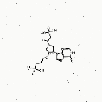 O=C(CP(=O)(O)O)N1C[C@H](OCCCP(=O)(O)O)[C@H](n2cnc3c(=O)[nH]cnc32)C1